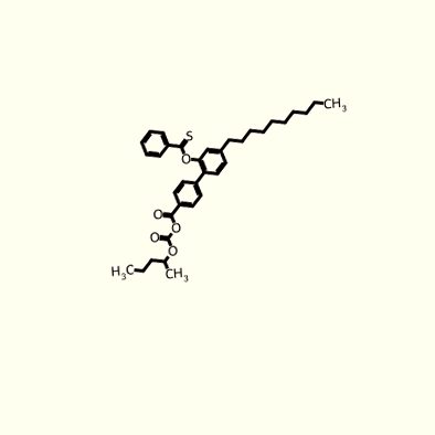 CCCCCCCCCCc1ccc(-c2ccc(C(=O)OC(=O)OC(C)CCC)cc2)c(OC(=S)c2ccccc2)c1